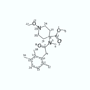 COC(=O)C1(N(C)C(=O)Cc2c(C)ccc(C)c2C)CCN(OC)CC1